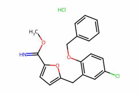 COC(=N)c1ccc(Cc2cc(Cl)ccc2OCc2ccccc2)o1.Cl